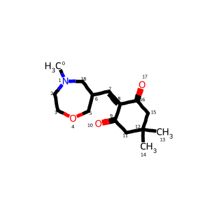 CN1CCOCC(C=C2C(=O)CC(C)(C)CC2=O)C1